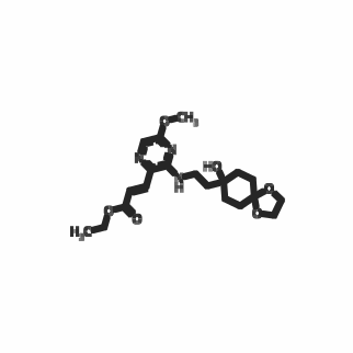 CCOC(=O)C=Cc1ncc(OC)nc1NCCC1(O)CCC2(CC1)OCCO2